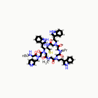 CCCCNCC(=O)N(CC(=O)N(CCc1c[nH]c2ccccc12)CC(=O)N(C)CC(=O)N(CCc1c[nH]c2ccccc12)CC(=O)N(CCC)CC(=O)N(CCc1c[nH]c2ccccc12)CC(=O)NCCS)Cc1cccnc1